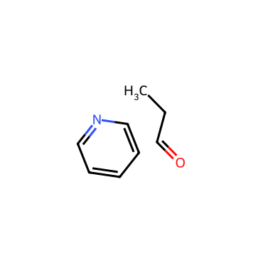 CCC=O.c1ccncc1